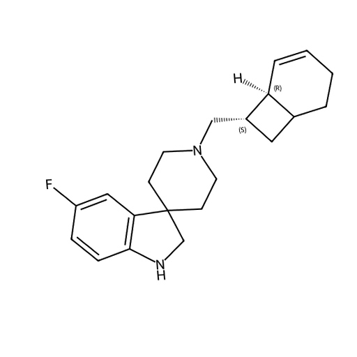 Fc1ccc2c(c1)C1(CCN(C[C@H]3CC4CCC=C[C@@H]43)CC1)CN2